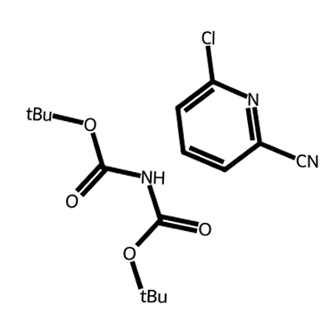 CC(C)(C)OC(=O)NC(=O)OC(C)(C)C.N#Cc1cccc(Cl)n1